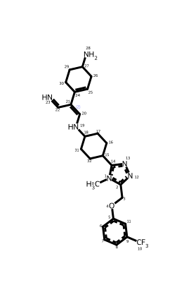 Cn1c(COc2cccc(C(F)(F)F)c2)nnc1C1CCC(N/C=C(\C=N)C2=CCC(N)CC2)CC1